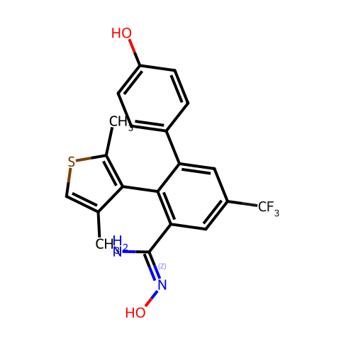 Cc1csc(C)c1-c1c(/C(N)=N/O)cc(C(F)(F)F)cc1-c1ccc(O)cc1